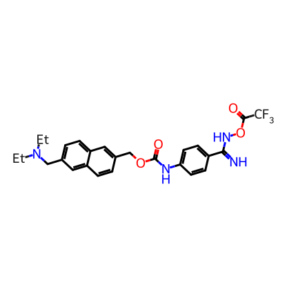 CCN(CC)Cc1ccc2cc(COC(=O)Nc3ccc(C(=N)NOC(=O)C(F)(F)F)cc3)ccc2c1